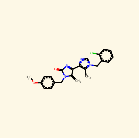 C=C1C(c2ncn(Cc3ccccc3Cl)c2C)=NC(=O)N1Cc1ccc(OC)cc1